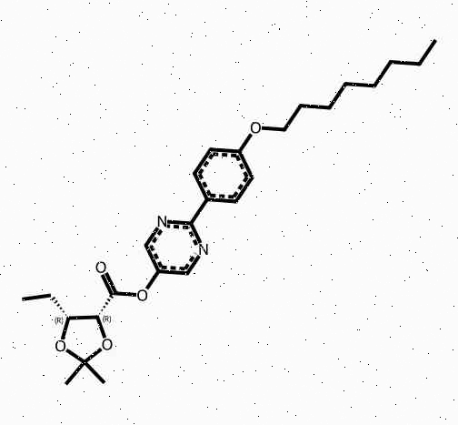 CCCCCCCCOc1ccc(-c2ncc(OC(=O)[C@@H]3OC(C)(C)O[C@@H]3CC)cn2)cc1